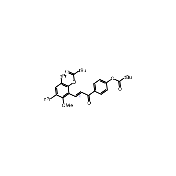 CCCc1cc(CCC)c(OC(=O)C(C)(C)C)c(/C=C/C(=O)c2ccc(OC(=O)C(C)(C)C)cc2)c1OC